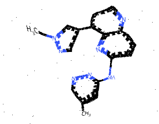 Cc1cnnc(Nc2ccc3nccc(-c4cnn(C)c4)c3n2)c1